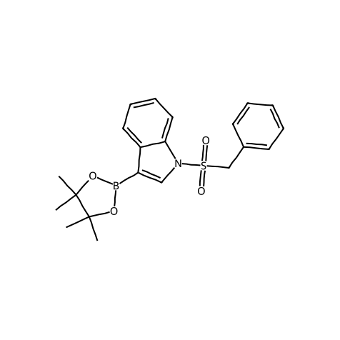 CC1(C)OB(c2cn(S(=O)(=O)Cc3ccccc3)c3ccccc23)OC1(C)C